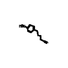 [C]#CCCCCc1ccc(CCCC)cc1